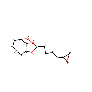 C(CC[Si]12OC3CCCCC(O1)C3O2)CC1CO1